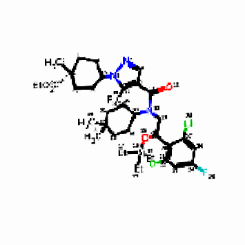 CCOC(=O)[C@]1(C)CC[C@@H](n2ncc(C(=O)N(CC(O[Si](CC)(CC)CC)c3c(Cl)cc(F)cc3Cl)C3CCC(C)(C)CC3)c2C(F)(F)F)CC1